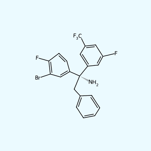 N[C@@](Cc1ccccc1)(c1cc(F)cc(C(F)(F)F)c1)c1ccc(F)c(Br)c1